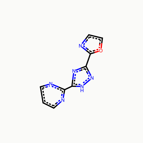 c1cnc(-c2nc(-c3ncco3)n[nH]2)nc1